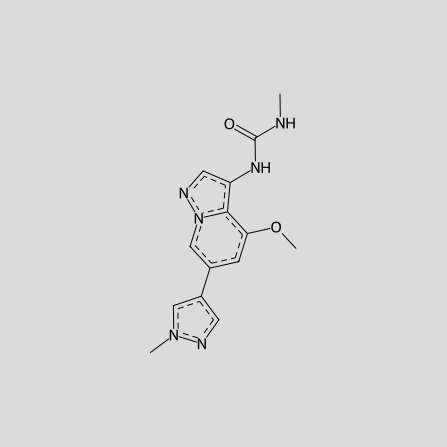 CNC(=O)Nc1cnn2cc(-c3cnn(C)c3)cc(OC)c12